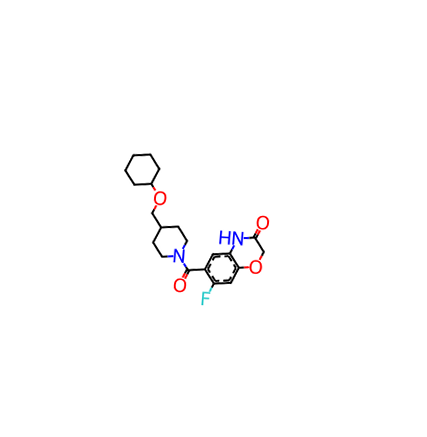 O=C1COc2cc(F)c(C(=O)N3CCC(COC4CCCCC4)CC3)cc2N1